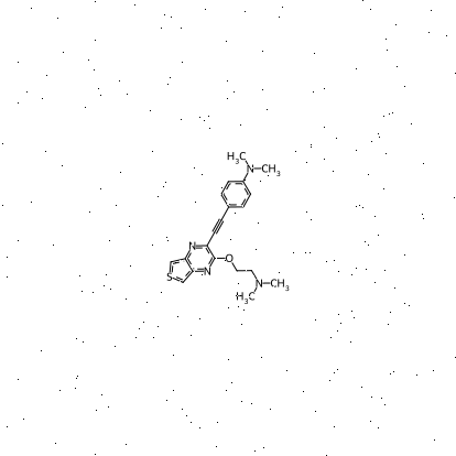 CN(C)CCOc1nc2cscc2nc1C#Cc1ccc(N(C)C)cc1